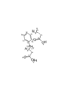 CCC(=O)O.CCC(=O)O.Pc1ccccc1